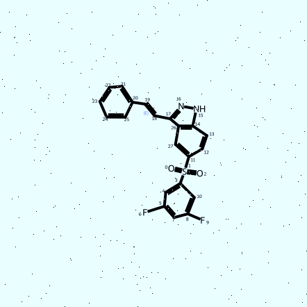 O=S(=O)(c1cc(F)cc(F)c1)c1ccc2[nH]nc(/C=C/c3ccccc3)c2c1